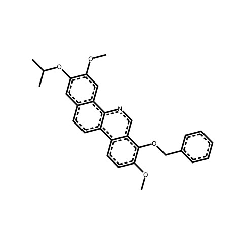 COc1cc2c(ccc3c4ccc(OC)c(OCc5ccccc5)c4cnc23)cc1OC(C)C